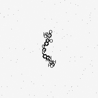 O=C1CCC(N2Cc3cc(O[C@H]4CCN(Cc5ccc6nc(N7C[C@H]8CCO[C@H]8C7)ncc6c5)C4)ccc3C2=O)C(=O)N1